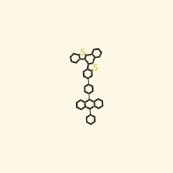 c1ccc(-c2c3ccccc3c(-c3ccc(-c4ccc5c(c4)sc4c6ccccc6c6sc7ccccc7c6c54)cc3)c3ccccc23)cc1